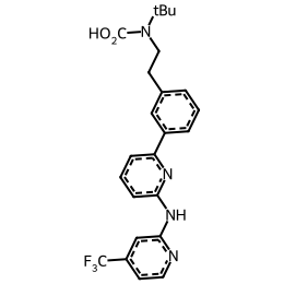 CC(C)(C)N(CCc1cccc(-c2cccc(Nc3cc(C(F)(F)F)ccn3)n2)c1)C(=O)O